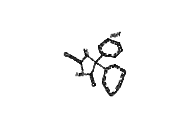 O=C1NC(=O)C(c2ccccc2)(c2ccccc2)N1.[NaH]